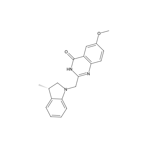 COc1ccc2nc(CN3C[C@@H](C)c4ccccc43)[nH]c(=O)c2c1